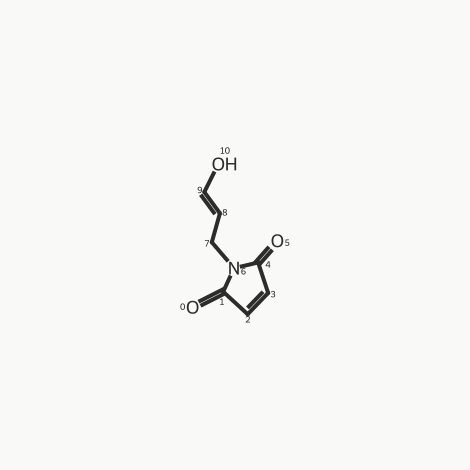 O=C1C=CC(=O)N1CC=CO